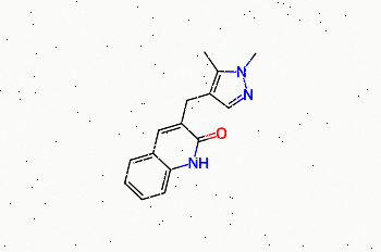 Cc1c(Cc2cc3ccccc3[nH]c2=O)cnn1C